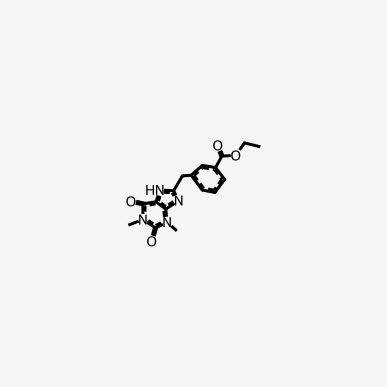 CCOC(=O)c1cccc(Cc2nc3c([nH]2)c(=O)n(C)c(=O)n3C)c1